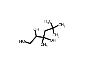 CC(C)(C)CC(C)(O)C(O)CO